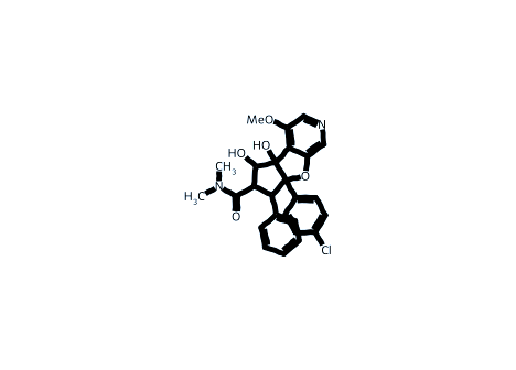 COc1cncc2c1C1(O)C(O)C(C(=O)N(C)C)C(c3ccccc3)C1(c1ccc(Cl)cc1)O2